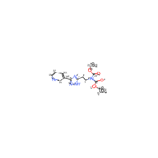 CC(C)(C)OC(=O)N(CCc1nc(-c2cccnc2)n[nH]1)C(=O)OC(C)(C)C